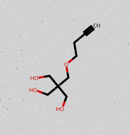 C#CCCOCC(CO)(CO)CO